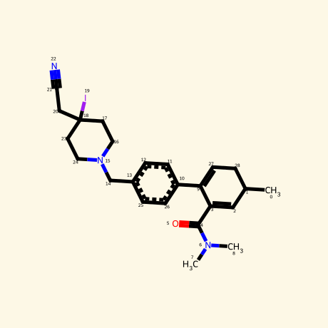 CC1C=C(C(=O)N(C)C)C(c2ccc(CN3CCC(I)(CC#N)CC3)cc2)=CC1